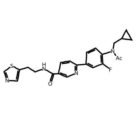 CC(=O)N(CC1CC1)c1ccc(-c2ccc(C(=O)NCCc3cncs3)cn2)cc1F